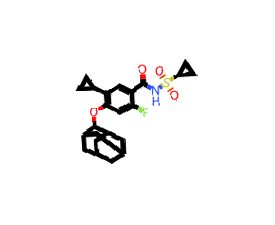 O=C(NS(=O)(=O)C1CC1)c1cc(C2CC2)c(OC2C3CC4CC(C3)CC2C4)cc1F